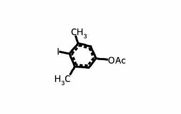 CC(=O)Oc1cc(C)c(I)c(C)c1